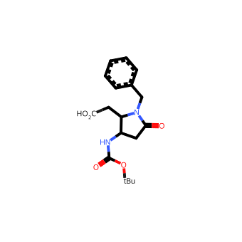 CC(C)(C)OC(=O)NC1CC(=O)N(Cc2ccccc2)C1CC(=O)O